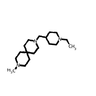 CCN1CCC(CN2CCC3(CCN(C)CC3)CC2)CC1